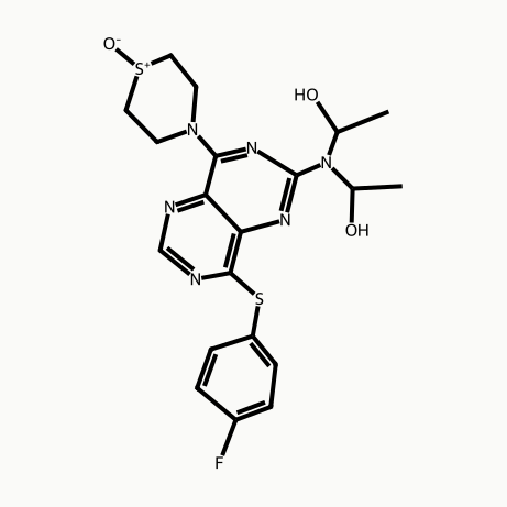 CC(O)N(c1nc(N2CC[S+]([O-])CC2)c2ncnc(Sc3ccc(F)cc3)c2n1)C(C)O